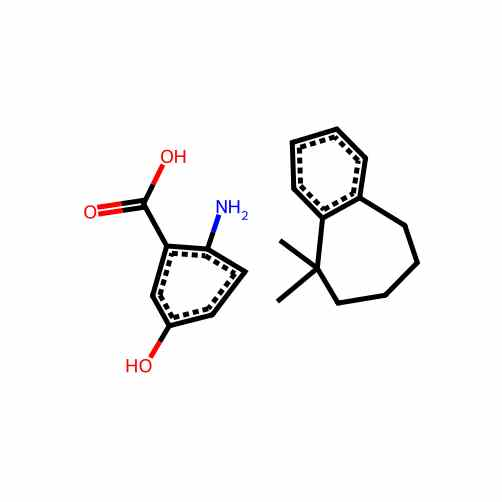 CC1(C)CCCCc2ccccc21.Nc1ccc(O)cc1C(=O)O